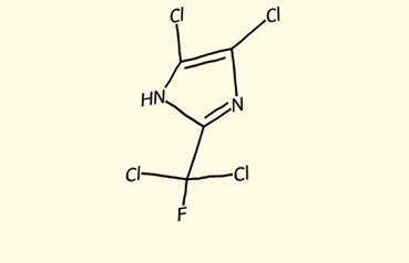 FC(Cl)(Cl)c1nc(Cl)c(Cl)[nH]1